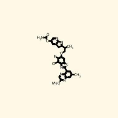 COc1cnc2c(-c3nc4c(Cl)c(F)c(OCC(C)C5=Nc6ncc(OC(N)=O)cc6C5)cc4s3)cc(C)cc2n1